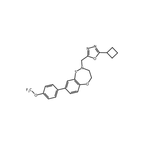 FC(F)(F)Oc1ccc(-c2ccc3c(c2)SN(Cc2nnc(C4CCC4)o2)CCO3)cc1